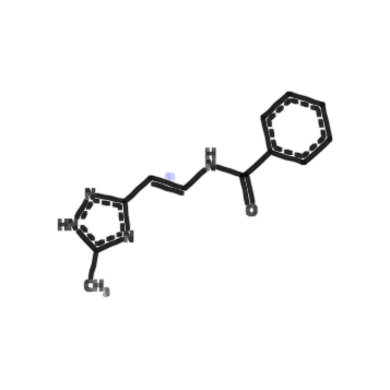 Cc1nc(/C=C/NC(=O)c2ccccc2)n[nH]1